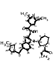 C=CC(=O)N1CCCC[C@@H](n2c(NC(=O)c3cc(C)nc(C)c3)nc3cc(CN4CC[C@H](C)C4)ccc32)C1